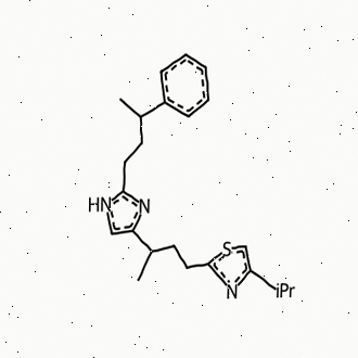 CC(C)c1csc(CCC(C)c2c[nH]c(CCC(C)c3ccccc3)n2)n1